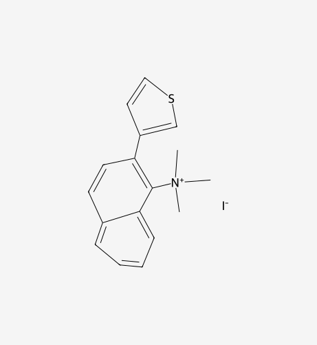 C[N+](C)(C)c1c(-c2ccsc2)ccc2ccccc12.[I-]